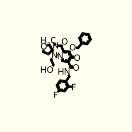 CN1C(=O)c2c(OCc3ccccc3)c(=O)c(C(=O)NCc3ccc(F)cc3F)cn2N(CCO)C12CCOC2